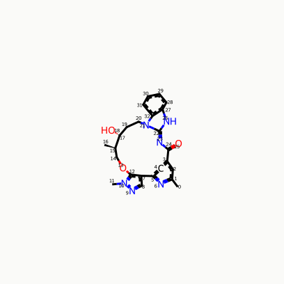 Cc1cc2cc(n1)-c1cnn(C)c1OC[C@@H](C)[C@H](O)CCN1/C(=N/C2=O)Nc2ccccc21